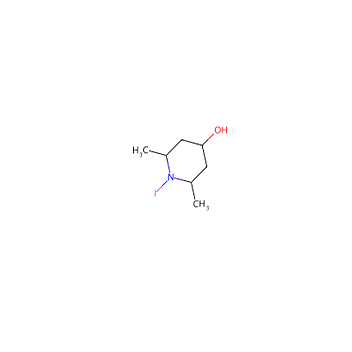 CC1CC(O)CC(C)N1I